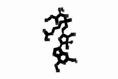 CCOc1nc(N)nc2c1ncn2[C@@H]1O[C@H](COP(=S)(N[C@@H](C)C(=O)OC(C)C)OCCSC(=O)C(C)(C)C)[C@@H](O)[C@@]1(F)Cl